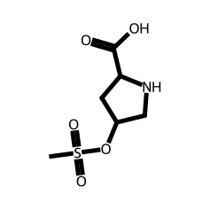 CS(=O)(=O)OC1CNC(C(=O)O)C1